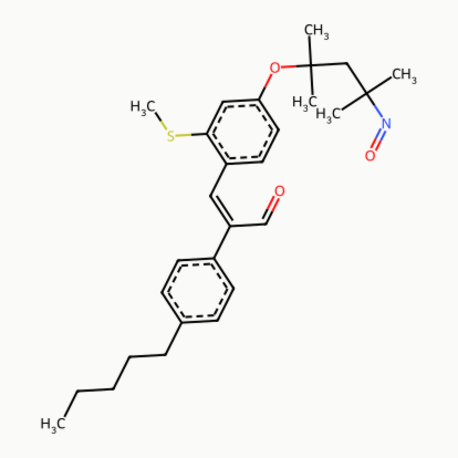 CCCCCc1ccc(/C(C=O)=C/c2ccc(OC(C)(C)CC(C)(C)N=O)cc2SC)cc1